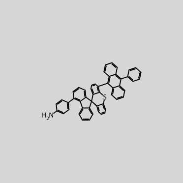 Nc1ccc(-c2cccc3c2-c2ccccc2C32c3ccccc3Sc3c(-c4c5ccccc5c(-c5ccccc5)c5ccccc45)cccc32)cc1